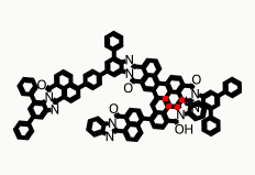 O=c1c2ccc(-c3ccc4c5c(cc(-c6cc7c(=O)n8c9cc(-c%10ccc(-c%11ccc%12c%13c%11cccc%13c(=O)n%11c%12nc%12cc(-c%13ccccc%13)cc(-c%13ccccc%13)c%12%11)cc%10)cc(-c%10ccccc%10)c9nc8c8cccc(c6-c6ccc9c(=O)n%10c%11cc(-c%12ccccc%12)cc(-c%12ccccc%12)c%11nc%10c%10cccc6c9%10)c78)cc35)-c3nc5ccccc5n3C4O)c3cccc(c32)c2nc3ccccc3n12